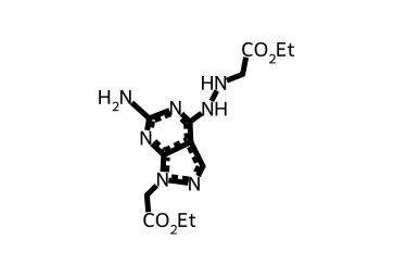 CCOC(=O)CNNc1nc(N)nc2c1cnn2CC(=O)OCC